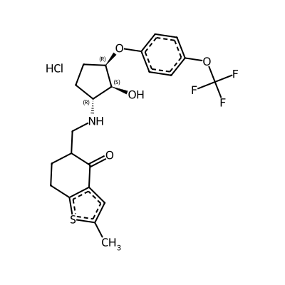 Cc1cc2c(s1)CCC(CN[C@@H]1CC[C@@H](Oc3ccc(OC(F)(F)F)cc3)[C@H]1O)C2=O.Cl